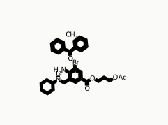 C.CCN(Cc1cc(C(=O)OCCCOC(C)=O)cc(Br)c1N)C1CCCCC1.O=C(c1ccccc1)c1ccccc1